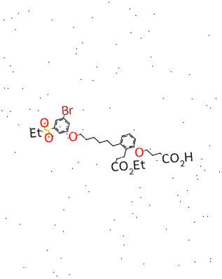 CCOC(=O)CCc1c(CCCCCCOc2cc(Br)cc(S(=O)(=O)CC)c2)cccc1OCCCC(=O)O